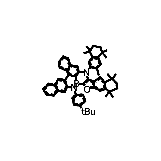 Cc1cc2c(cc1N1c3cc4ccccc4c4c3B(c3oc5cc6c(cc5c31)C(C)(C)CCC6(C)C)N(c1ccc(C(C)(C)C)cc1)c1cc3ccccc3cc1-4)C(C)(C)CCC2(C)C